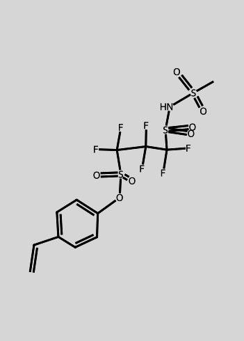 C=Cc1ccc(OS(=O)(=O)C(F)(F)C(F)(F)C(F)(F)S(=O)(=O)NS(C)(=O)=O)cc1